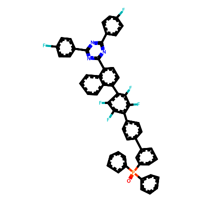 O=P(c1ccccc1)(c1ccccc1)c1cccc(-c2ccc(-c3c(F)c(F)c(-c4ccc(-c5nc(-c6ccc(F)cc6)nc(-c6ccc(F)cc6)n5)c5ccccc45)c(F)c3F)cc2)c1